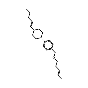 CC=CCCOCc1ccc([C@H]2CC[C@H](C=CCCC)CC2)cc1